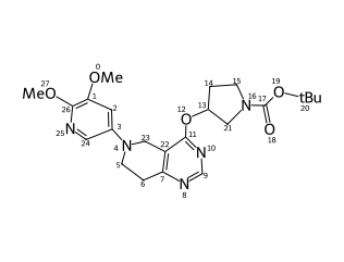 COc1cc(N2CCc3ncnc(OC4CCN(C(=O)OC(C)(C)C)C4)c3C2)cnc1OC